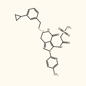 Cc1ccc(-n2nc3c(c2NC(=O)CS(C)(=O)=O)C(=O)N[C@@H](CCc2cccc(C4CC4)c2)C3)nc1